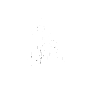 C[C@H]1[C@@H](N2CCN(C(N)=Nc3ccc4c(c3)C(=O)N(Cc3ccc(Cl)cc3Cl)C4=O)C[C@@H]2C)C[C@@H]2C[C@@H]1C2(C)C